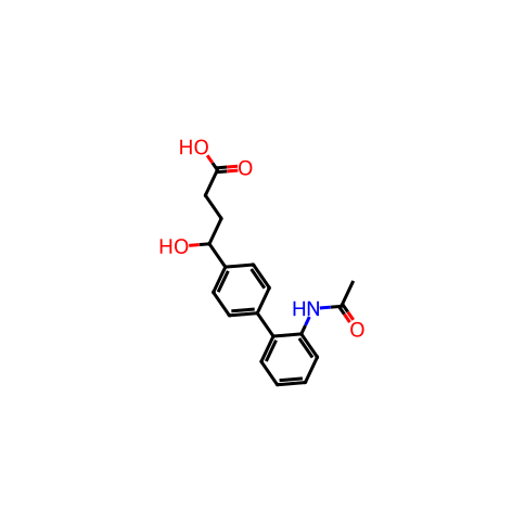 CC(=O)Nc1ccccc1-c1ccc(C(O)CCC(=O)O)cc1